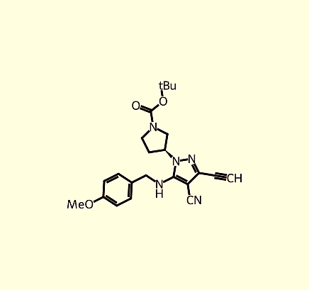 C#Cc1nn([C@H]2CCN(C(=O)OC(C)(C)C)C2)c(NCc2ccc(OC)cc2)c1C#N